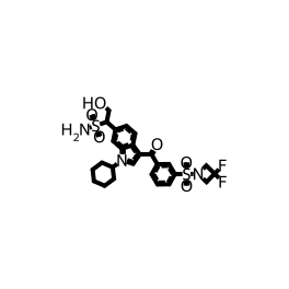 NS(=O)(=O)C(CO)c1ccc2c(C(=O)c3cccc(S(=O)(=O)N4CC(F)(F)C4)c3)cn(C3CCCCC3)c2c1